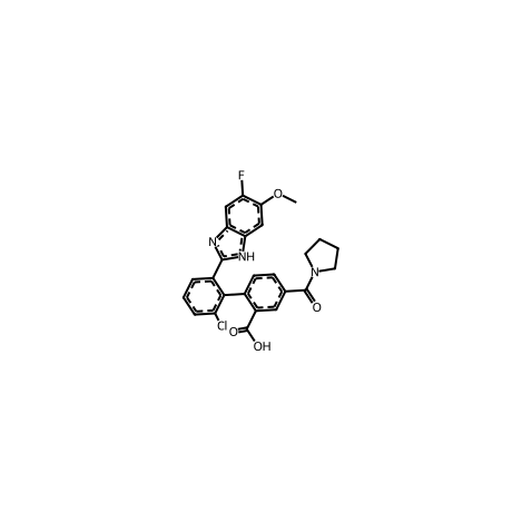 COc1cc2[nH]c(-c3cccc(Cl)c3-c3ccc(C(=O)N4CCCC4)cc3C(=O)O)nc2cc1F